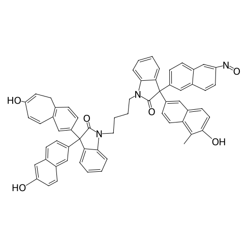 Cc1c(O)ccc2cc(C3(c4ccc5cc(N=O)ccc5c4)C(=O)N(CCCCN4C(=O)C(c5ccc6c(c5)C=CC(O)=CC6)(c5ccc6cc(O)ccc6c5)c5ccccc54)c4ccccc43)ccc12